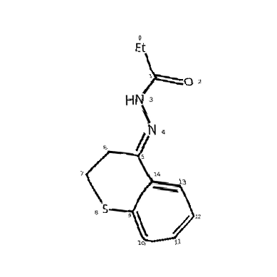 CCC(=O)NN=C1CCSc2ccccc21